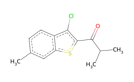 Cc1ccc2c(Cl)c(C(=O)C(C)C)sc2c1